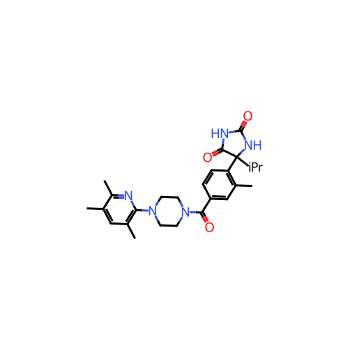 Cc1cc(C(=O)N2CCN(c3nc(C)c(C)cc3C)CC2)ccc1C1(C(C)C)NC(=O)NC1=O